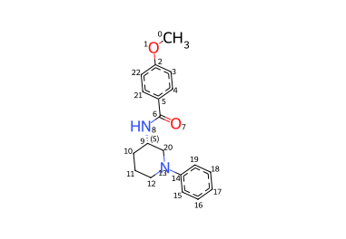 COc1ccc(C(=O)N[C@H]2CCCN(c3ccccc3)C2)cc1